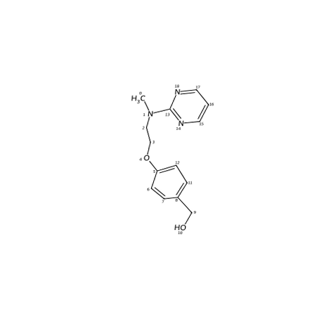 CN(CCOc1ccc(CO)cc1)c1ncccn1